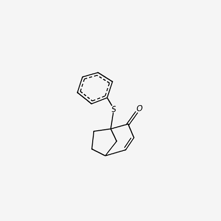 O=C1C=CC2CCC1(Sc1ccccc1)C2